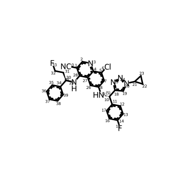 N#Cc1cnc2c(Cl)cc(N[C@@H](c3ccc(F)cc3)c3cn(C4CC4)nn3)cc2c1N[C@H](CCF)c1ccccc1